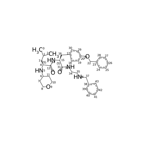 CC(C)C[C@H](NC1CCOCC1)C(=O)N[C@@H](Cc1ccc(OCc2ccccc2)cc1)C(=O)NCCNCc1ccccc1